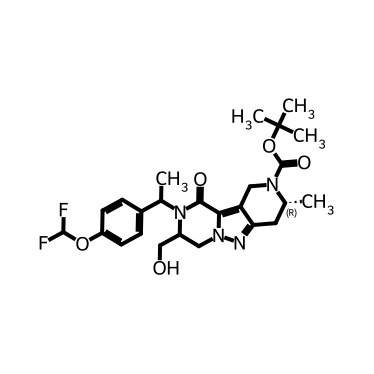 CC(c1ccc(OC(F)F)cc1)N1C(=O)c2c3c(nn2CC1CO)C[C@@H](C)N(C(=O)OC(C)(C)C)C3